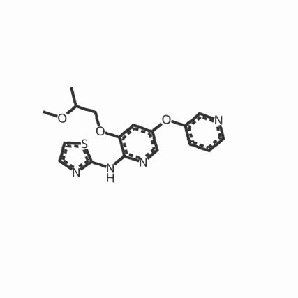 COC(C)COc1cc(Oc2cccnc2)cnc1Nc1nccs1